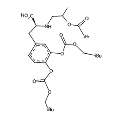 CCC(C)COC(=O)Oc1ccc(C[C@H](NCC(C)OC(=O)C(C)C)C(=O)O)cc1OC(=O)OCC(C)CC